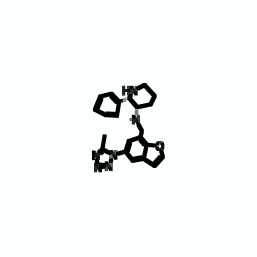 Cc1nnnn1-c1cc(C[N][C@H]2CCCN[C@H]2c2ccccc2)c2occc2c1